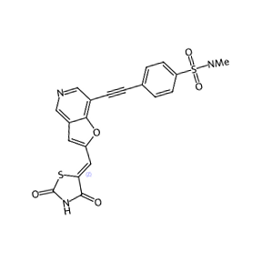 CNS(=O)(=O)c1ccc(C#Cc2cncc3cc(/C=C4\SC(=O)NC4=O)oc23)cc1